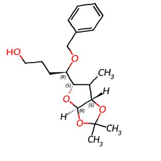 CC1[C@@H]2OC(C)(C)O[C@H]2O[C@@H]1[C@@H](CCCO)OCc1ccccc1